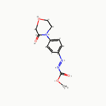 COC(=O)N=Nc1ccc(N2CCOCC2=O)cc1